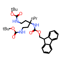 CCCC(CCNC(=O)OC(C)(C)C)(CCNC(=O)OC(C)(C)C)NC(=O)OCC1c2ccccc2-c2ccccc21